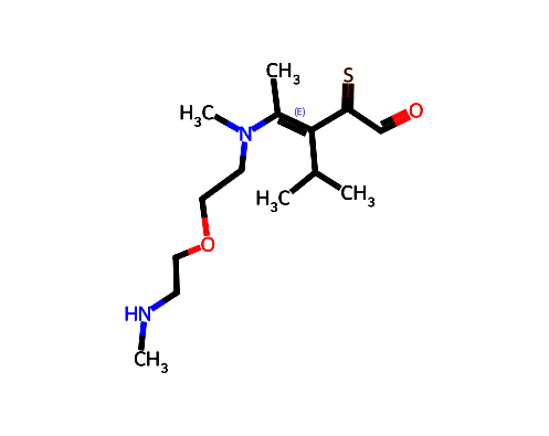 CNCCOCCN(C)/C(C)=C(/C(=S)C=O)C(C)C